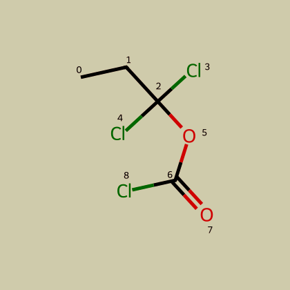 CCC(Cl)(Cl)OC(=O)Cl